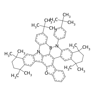 CC(C)(C)c1ccc(N2B3c4cc(C(C)(C)C)ccc4-n4c5cc6c(cc5c5c7oc8ccccc8c7c(c3c54)-c3cc4c(cc32)C(C)(C)CCC4(C)C)C(C)(C)CCC6(C)C)cc1